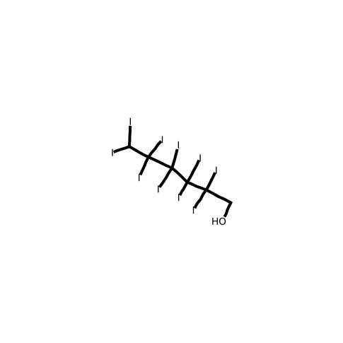 OCC(I)(I)C(I)(I)C(I)(I)C(I)(I)C(I)I